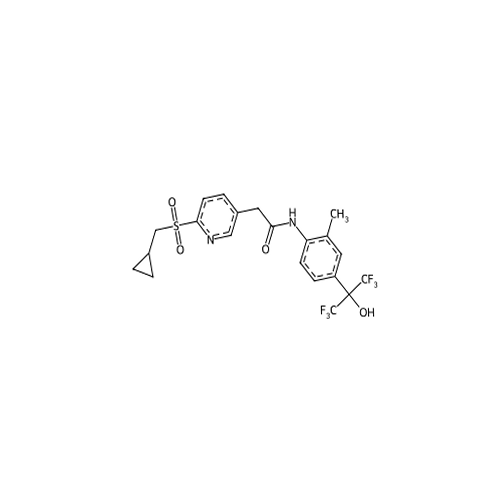 Cc1cc(C(O)(C(F)(F)F)C(F)(F)F)ccc1NC(=O)Cc1ccc(S(=O)(=O)CC2CC2)nc1